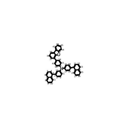 c1cc(-c2cccc3ccccc23)cc(N(c2ccc(-c3cccc4ccccc34)cc2)c2ccc(-c3cccc4c3oc3ccccc34)cc2)c1